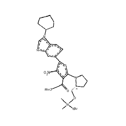 COC(=O)c1c(N2CCC[C@@H]2CO[Si](C)(C)C(C)(C)C)sc(-c2ccc3c(c2)ncn3C2CCCCC2)c1[N+](=O)[O-]